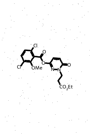 CCOC(=O)CCn1nc(OC(=O)c2c(Cl)ccc(Cl)c2OC)ccc1=O